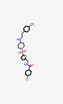 O=C(NCc1ccc(S(=O)(=O)N2CCC(NCCc3ccc(C(F)(F)F)cc3)CC2)s1)c1ccc(Cl)cc1